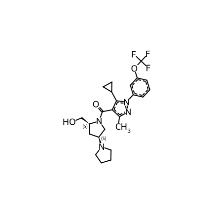 Cc1nn(-c2cccc(OC(F)(F)F)c2)c(C2CC2)c1C(=O)N1C[C@@H](N2CCCC2)C[C@H]1CO